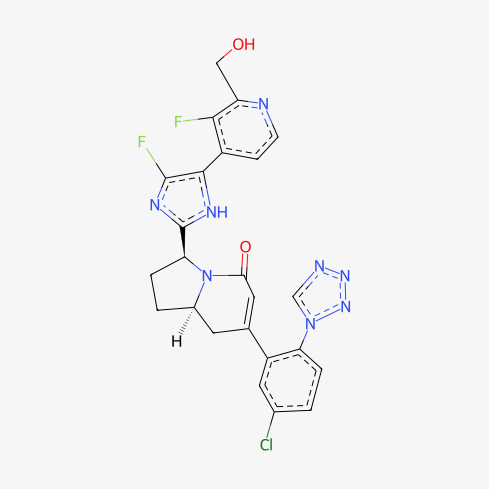 O=C1C=C(c2cc(Cl)ccc2-n2cnnn2)C[C@H]2CC[C@@H](c3nc(F)c(-c4ccnc(CO)c4F)[nH]3)N12